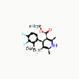 CCCCCCCOC(=O)C1=C(C)NC(C)=C([N+](=O)[O-])C1c1ccc(F)c(F)c1OC